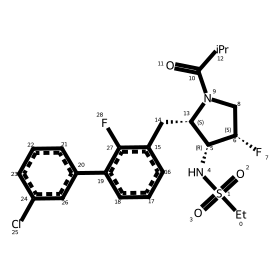 CCS(=O)(=O)N[C@H]1[C@@H](F)CN(C(=O)C(C)C)[C@H]1Cc1cccc(-c2cccc(Cl)c2)c1F